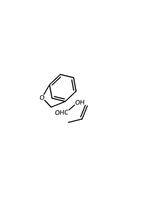 C=CC.O=CO.c1cc2cc(c1)OC2